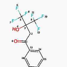 O=C(CC(O)(C(F)(F)F)C(F)(F)F)c1ccccc1